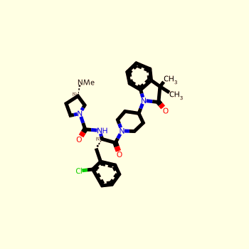 CN[C@H]1CCN(C(=O)N[C@@H](Cc2ccccc2Cl)C(=O)N2CCC(N3C(=O)C(C)(C)c4ccccc43)CC2)C1